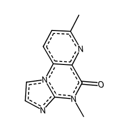 Cc1ccc2c(n1)c(=O)n(C)c1nccn21